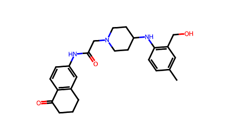 Cc1ccc(NC2CCN(CC(=O)Nc3ccc4c(c3)CCCC4=O)CC2)c(CO)c1